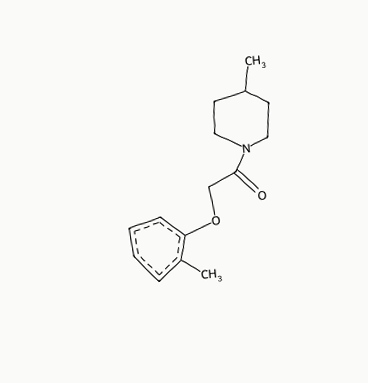 Cc1ccccc1OCC(=O)N1CCC(C)CC1